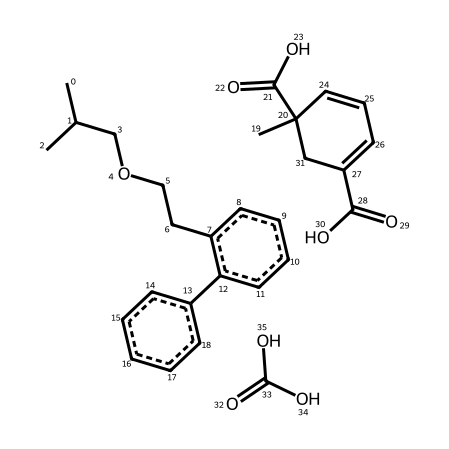 CC(C)COCCc1ccccc1-c1ccccc1.CC1(C(=O)O)C=CC=C(C(=O)O)C1.O=C(O)O